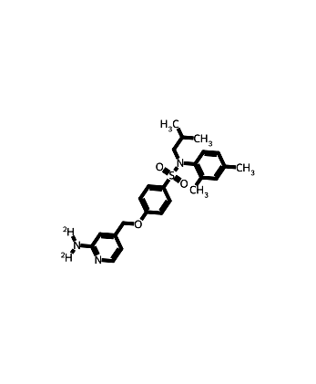 [2H]N([2H])c1cc(COc2ccc(S(=O)(=O)N(CC(C)C)c3ccc(C)cc3C)cc2)ccn1